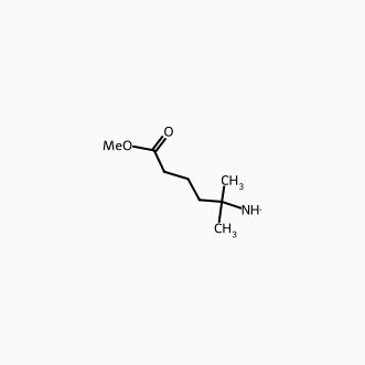 COC(=O)CCCC(C)(C)[NH]